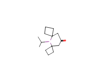 CC(C)P1C2(CCC2)CC(=O)CC12CCC2